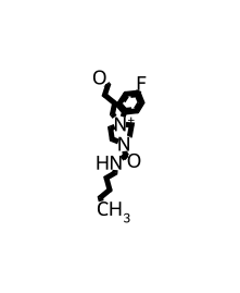 CCCCCNC(=O)N1CC[N+](CCCC=O)(c2ccc(F)cc2)CC1